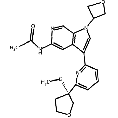 CO[C@@]1(c2cccc(-c3cn(C4COC4)c4cnc(NC(C)=O)cc34)n2)CCOC1